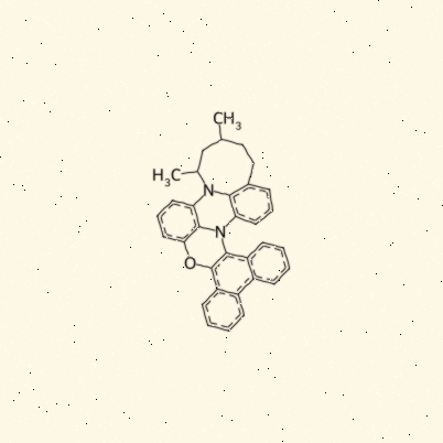 CC1CCc2cccc3c2N(c2cccc4c2N3c2c(c3ccccc3c3ccccc23)O4)C(C)C1